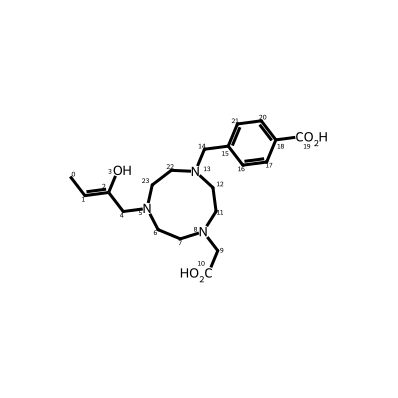 CC=C(O)CN1CCN(CC(=O)O)CCN(Cc2ccc(C(=O)O)cc2)CC1